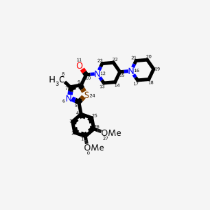 COc1ccc(-c2nc(C)c(C(=O)N3CCC(N4CCCCC4)CC3)s2)cc1OC